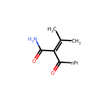 CCCC(=O)C(C(N)=O)=C(C)C